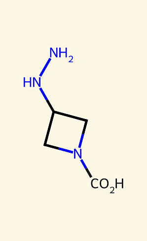 NNC1CN(C(=O)O)C1